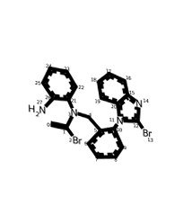 C=C(Br)N(Cc1ccccc1-n1c(Br)nc2ccccc21)c1ccccc1N